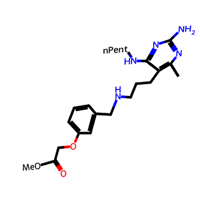 CCCCCNc1nc(N)nc(C)c1CCCNCc1cccc(OCC(=O)OC)c1